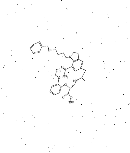 CC(Cc1cc2c(c(C(N)=O)c1)N(CCCCOCc1ccccc1)CC2)NCC(Oc1ccccc1OCC(F)(F)F)C(=O)OC(C)(C)C